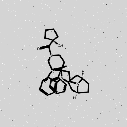 Cc1nc2ccccc2n1C1C[C@H]2CC[C@@H](C1)N2CCC1(c2ccccc2)CCN(C(=O)C2(O)CCCC2)CC1